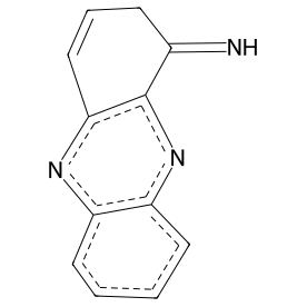 N=C1CC=Cc2nc3ccccc3nc21